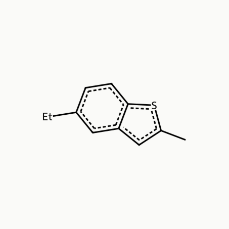 CCc1ccc2sc(C)cc2c1